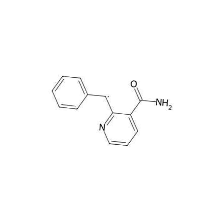 NC(=O)c1cccnc1[CH]c1ccccc1